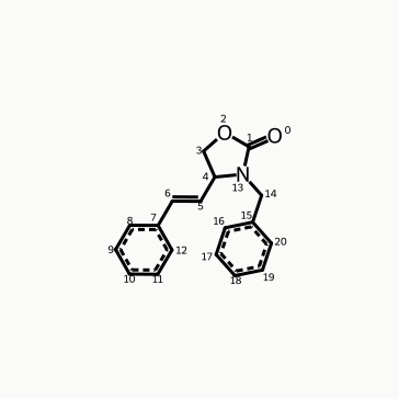 O=C1OCC(C=Cc2ccccc2)N1Cc1ccccc1